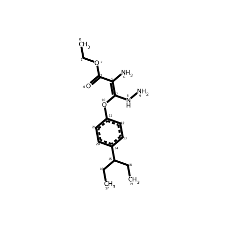 CCOC(=O)/C(N)=C(/NN)Oc1ccc(C(CC)CC)cc1